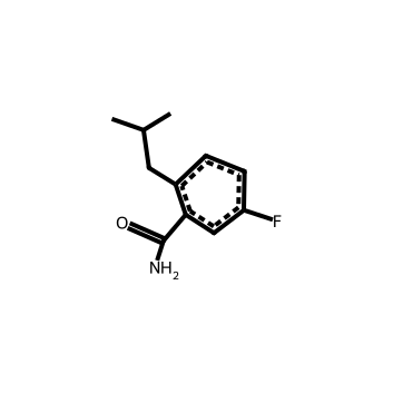 CC(C)Cc1ccc(F)cc1C(N)=O